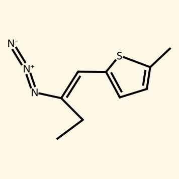 CC/C(=C\c1ccc(C)s1)N=[N+]=[N-]